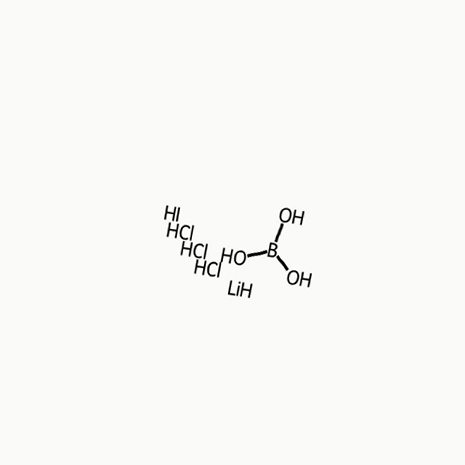 Cl.Cl.Cl.I.OB(O)O.[LiH]